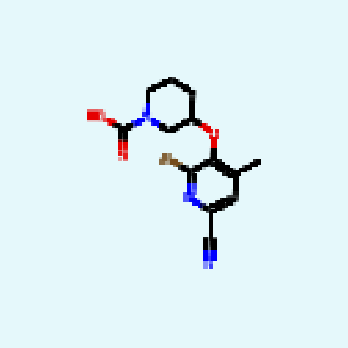 Cc1cc(C#N)nc(Br)c1OC1CCCN(C(=O)O)C1